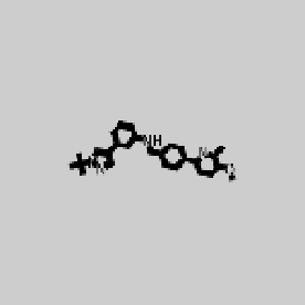 COc1ccc(C2CCC(CNc3cccc(-c4cnn(C(C)(C)C)c4)c3)CC2)nc1C